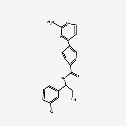 Nc1nccc(-c2ccc(C(=O)NC(CO)c3cccc(Cl)c3)cc2)n1